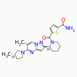 Cc1cn2nc([C@@H]3CCCCN3C(=O)c3ccc(C(N)=O)s3)cc2nc1N1CC[C@H](C)C1